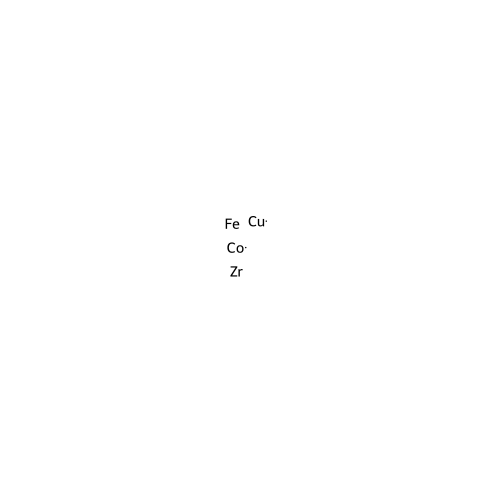 [Co].[Cu].[Fe].[Zr]